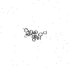 Cc1ccc(N2CCN(C(=O)[C@@H]3OC(=O)N[C@H]3c3ccc(Cl)cc3)CC2)c([C@@H](N)CC(C)C)c1